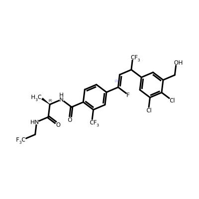 C[C@@H](NC(=O)c1ccc(/C(F)=C/C(c2cc(Cl)c(Cl)c(CO)c2)C(F)(F)F)cc1C(F)(F)F)C(=O)NCC(F)(F)F